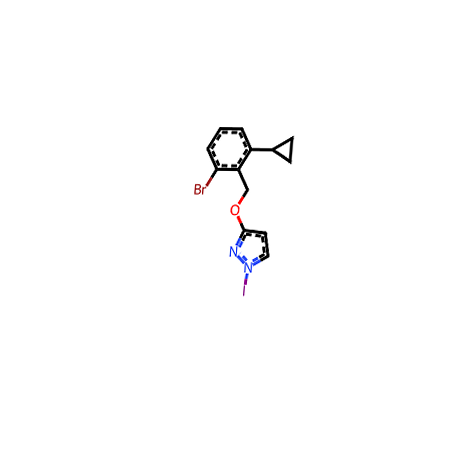 Brc1cccc(C2CC2)c1COc1ccn(I)n1